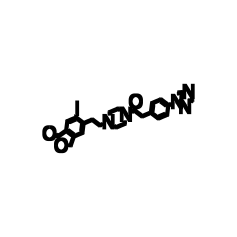 O=C1OCc2cc(CCN3CCN(C(=O)Cc4ccc(-n5cncn5)cc4)CC3)c(I)cc21